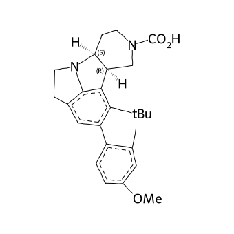 COc1ccc(-c2cc3c4c(c2C(C)(C)C)[C@@H]2CN(C(=O)O)CC[C@@H]2N4CC3)c(C)c1